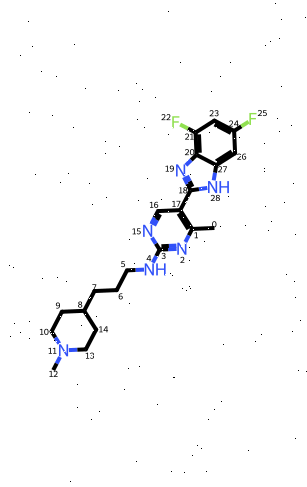 Cc1nc(NCCCC2CCN(C)CC2)ncc1-c1nc2c(F)cc(F)cc2[nH]1